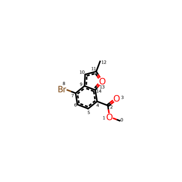 COC(=O)c1ccc(Br)c2cc(C)oc12